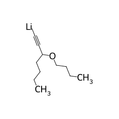 [Li][C]#CC(CCCC)OCCCC